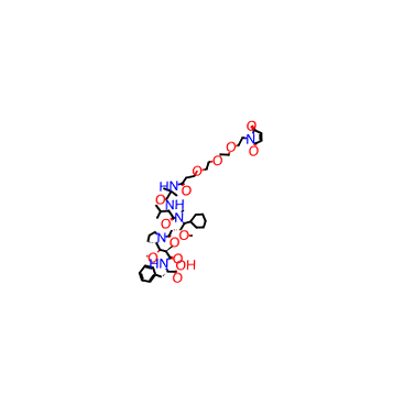 CO[C@H]([C@@H](C)C(=O)N[C@@H](Cc1ccccc1)C(=O)O)[C@@H]1CCCN1C(=O)C[C@@H](OC)[C@H](C1CCCCC1)N(C)C(=O)[C@@H](NC(=O)C(C)(C)NC(=O)CCOCCOCCOCCN1C(=O)C=CC1=O)C(C)C